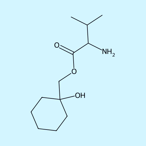 CC(C)C(N)C(=O)OCC1(O)CCCCC1